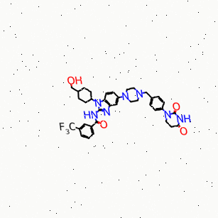 O=C1CCN(c2ccc(CN3CCN(c4ccc5c(c4)nc(NC(=O)c4cccc(C(F)(F)F)c4)n5C4CCC(CO)CC4)CC3)cc2)C(=O)N1